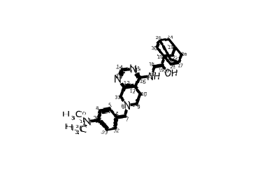 CN(C)c1ccc(CN2CCc3c(ncnc3NCC(O)C34CC5CC(CC(C5)C3)C4)C2)cc1